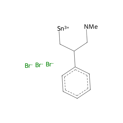 CNCC([CH2][Sn+3])c1ccccc1.[Br-].[Br-].[Br-]